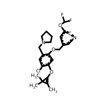 CC1=C(Oc2cc(OCc3cncc(OC(F)F)c3)c(CN3CCCC3)cc2Cl)C1(C)C